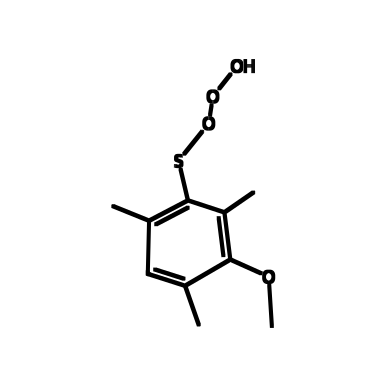 COc1c(C)cc(C)c(SOOO)c1C